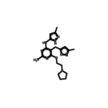 Cc1cc(Nc2nc(N)nc(OCCN3CCCC3)c2Cc2cc(C)no2)[nH]n1